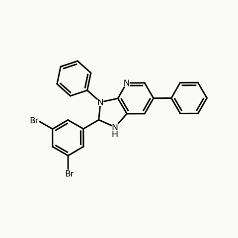 Brc1cc(Br)cc(C2Nc3cc(-c4ccccc4)cnc3N2c2ccccc2)c1